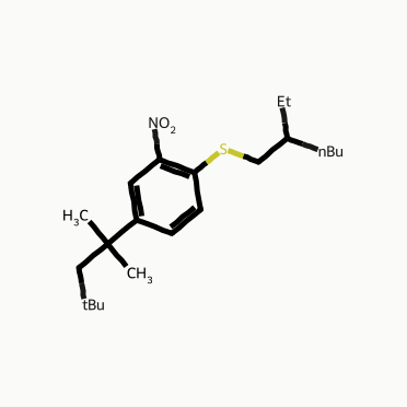 CCCCC(CC)CSc1ccc(C(C)(C)CC(C)(C)C)cc1[N+](=O)[O-]